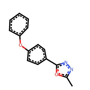 Cc1nnc(-c2ccc(Oc3ccccc3)cc2)o1